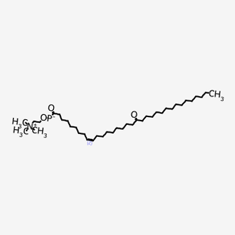 CCCCCCCCCCCCCCCC(=O)CCCCCCCC/C=C\CCCCCCCC(=O)[P-]OCC[N+](C)(C)C